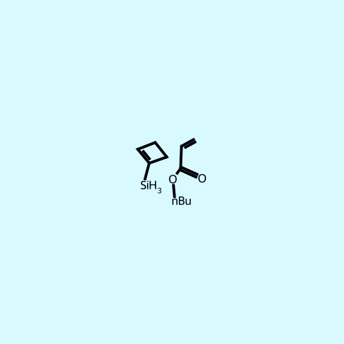 C=CC(=O)OCCCC.[SiH3]C1=CCC1